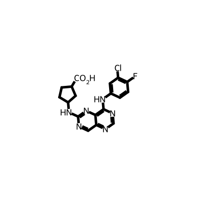 O=C(O)C1CCC(Nc2ncc3ncnc(Nc4ccc(F)c(Cl)c4)c3n2)C1